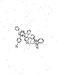 CCC1Nc2ccccc2N1c1cccc(-c2ccccc2-c2ccccc2-c2nc(-c3ccccc3)nc(-c3ccc(C#N)cc3)n2)c1